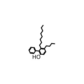 CCCCCCCCc1c(CCCC)ccc(O)c1-c1ccccc1